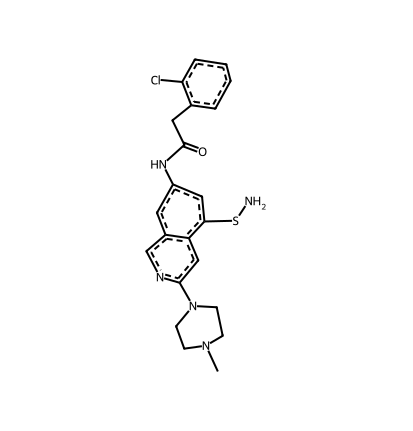 CN1CCN(c2cc3c(SN)cc(NC(=O)Cc4ccccc4Cl)cc3cn2)CC1